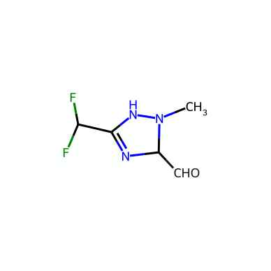 CN1NC(C(F)F)=NC1C=O